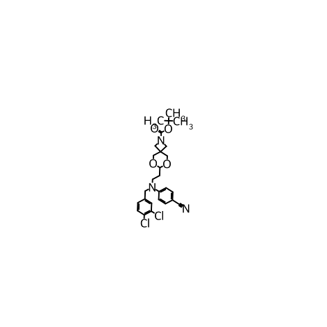 CC(C)(C)OC(=O)N1CC2(COC(CCN(Cc3ccc(Cl)c(Cl)c3)c3ccc(C#N)cc3)OC2)C1